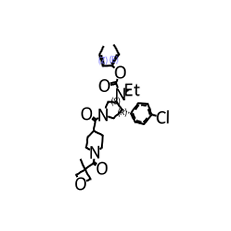 C/C=C\C(=C/C)OC(=O)N(CC)[C@@H]1CN(C(=O)C2CCN(C(=O)C3(C)COC3)CC2)C[C@H]1c1ccc(Cl)cc1